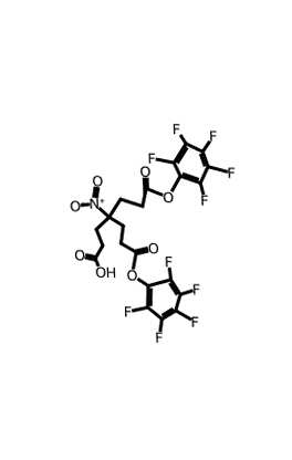 O=C(O)CCC(CCC(=O)Oc1c(F)c(F)c(F)c(F)c1F)(CCC(=O)Oc1c(F)c(F)c(F)c(F)c1F)[N+](=O)[O-]